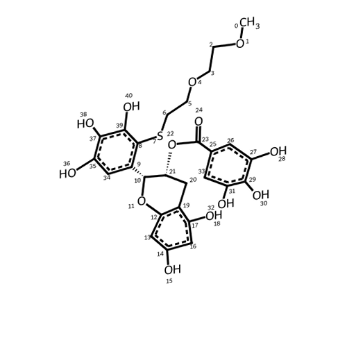 COCCOCCSc1c([C@H]2Oc3cc(O)cc(O)c3C[C@H]2OC(=O)c2cc(O)c(O)c(O)c2)cc(O)c(O)c1O